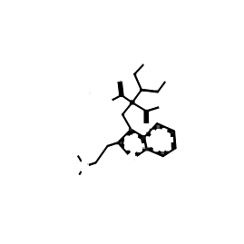 CCC(CC)C(Cc1c(CCN(C)C)[nH]c2ccccc12)(C(=O)O)C(=O)O.Cl